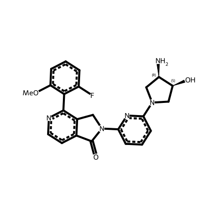 COc1cccc(F)c1-c1nccc2c1CN(c1cccc(N3C[C@@H](N)[C@@H](O)C3)n1)C2=O